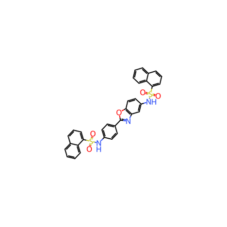 O=S(=O)(Nc1ccc(-c2nc3cc(NS(=O)(=O)c4cccc5ccccc45)ccc3o2)cc1)c1cccc2ccccc12